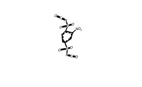 O=C=NS(=O)(=O)c1ccc(S(=O)(=O)N=C=O)c([N+](=O)[O-])c1